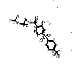 Nc1cc(S(=O)(=O)c2ccc(C(F)(F)F)cc2)cnc1C(=O)N1CC(OC(F)F)C1